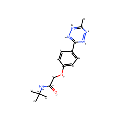 Cc1nnc(-c2ccc(OCC(=O)NC(C)(C)C)cc2)nn1